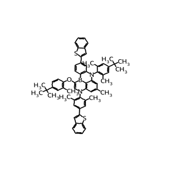 Cc1cc2c3c(c1)N(c1c(C)cc(C(C)(C)C)cc1C)c1cc(-c4cc5ccccc5s4)ccc1B3C(Oc1ccc(C(C)(C)C)cc1C)=CN2c1c(C)cc(-c2cc3ccccc3s2)cc1C